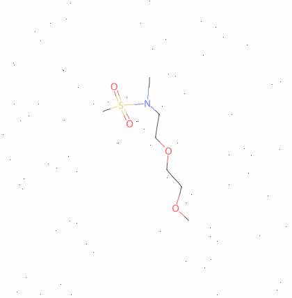 COCCOCCN(C)S(C)(=O)=O